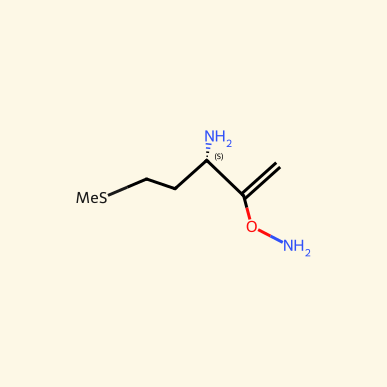 C=C(ON)[C@@H](N)CCSC